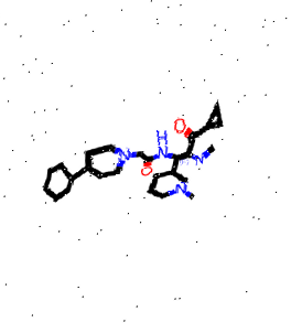 C=N/C(C(=O)C1CC1)=C(/NC(=O)CN1CCC(C2CCCCC2)CC1)C1CCCN(C)C1